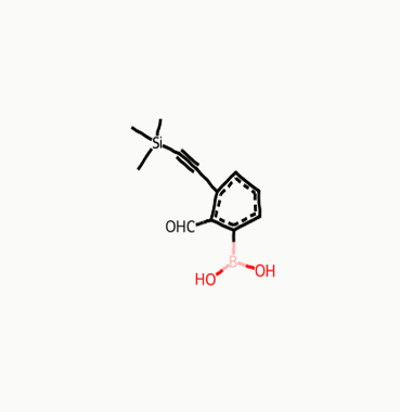 C[Si](C)(C)C#Cc1cccc(B(O)O)c1C=O